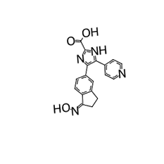 O=C(O)c1nc(-c2ccc3c(c2)CC/C3=N/O)c(-c2ccncc2)[nH]1